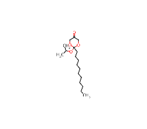 CCCCCCCCCCCC1(OC(C)C)OCC(=O)CO1